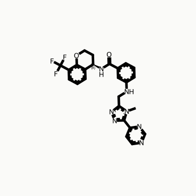 Cn1c(CNc2cccc(C(=O)N[C@@H]3CCOc4c3cccc4C(F)(F)F)c2)nnc1-c1ccncn1